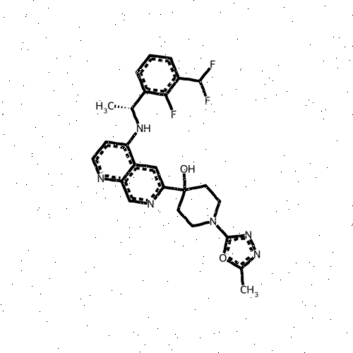 Cc1nnc(N2CCC(O)(c3cc4c(N[C@H](C)c5cccc(C(F)F)c5F)ccnc4cn3)CC2)o1